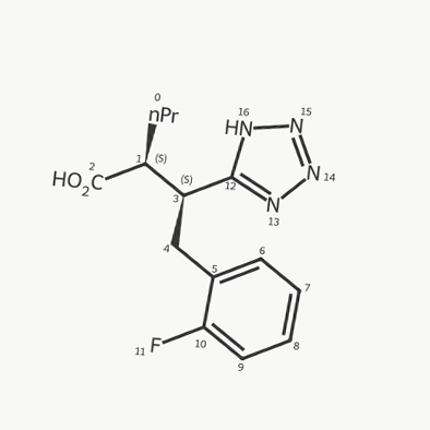 CCC[C@H](C(=O)O)[C@H](Cc1ccccc1F)c1nnn[nH]1